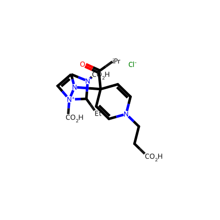 CCC1N(C(=O)O)C2=C[N+]1(C(=O)O)N2C1(C(=O)C(C)C)C=CN(CCC(=O)O)C=C1.[Cl-]